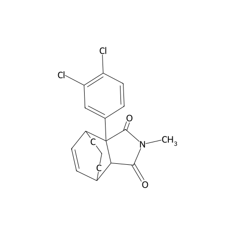 CN1C(=O)C2C3C=CC(CCC3)C2(c2ccc(Cl)c(Cl)c2)C1=O